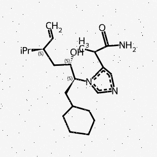 C=C[C@@H](C[C@H](O)[C@H](CC1CCCCC1)n1cncc1C(C)C(N)=O)C(C)C